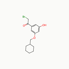 O=C(CBr)c1cc(O)cc(OCC2CCCCC2)c1